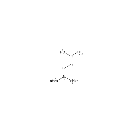 CCCCCCN(CCCCCC)CCC(C)O